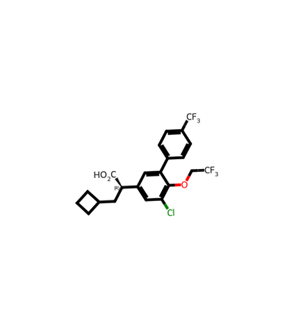 O=C(O)[C@H](CC1CCC1)c1cc(Cl)c(OCC(F)(F)F)c(-c2ccc(C(F)(F)F)cc2)c1